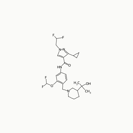 CC(C)(O)C1CCCN(Cc2ccc(NC(=O)c3cn(CC(F)F)nc3C3CC3)cc2OC(F)F)C1